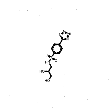 O=S(=O)(NCC(O)CO)c1ccc(-c2nn[nH]n2)cc1